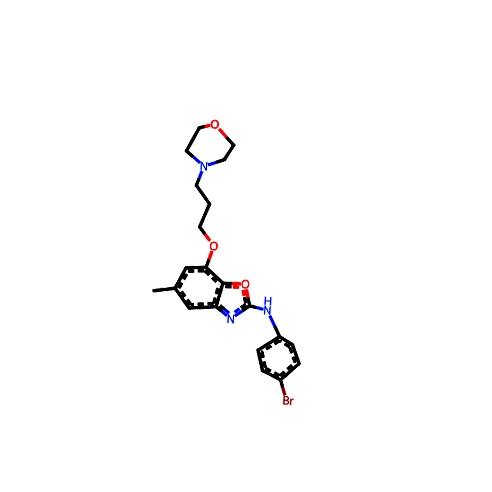 Cc1cc(OCCCN2CCOCC2)c2oc(Nc3ccc(Br)cc3)nc2c1